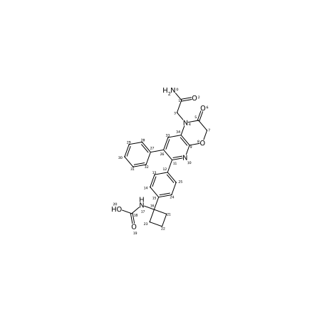 NC(=O)CN1C(=O)COc2nc(-c3ccc(C4(NC(=O)O)CCC4)cc3)c(-c3ccccc3)cc21